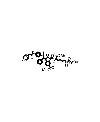 COC(=O)c1ccc2c(c1)N(C(=O)NC(CCCCNC(=O)OC(C)(C)C)C(=O)OC)C(=O)/C2=C(\Nc1ccc(N(C)C(=O)CN2CCN(C)CC2)cc1)c1ccccc1